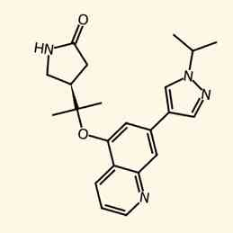 CC(C)n1cc(-c2cc(OC(C)(C)[C@H]3CNC(=O)C3)c3cccnc3c2)cn1